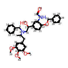 COc1cc(CC(C)N(Cc2ccccc2)CC(O)c2ccc(OCc3ccccc3)c(NC=O)c2)cc(OC)c1OC